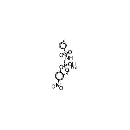 O=[N+]([O-])c1ccc(OP(=O)(O)CNS(=O)(=O)c2ccsc2)c(F)c1.[Na]